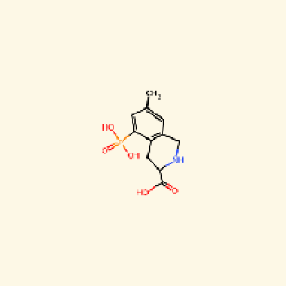 Cc1cc2c(c(P(=O)(O)O)c1)CC(C(=O)O)NC2